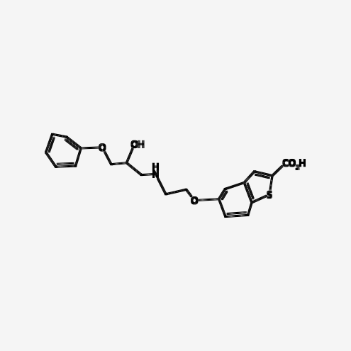 O=C(O)c1cc2cc(OCCNCC(O)COc3ccccc3)ccc2s1